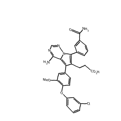 COc1cc(-c2c(CCC(=O)O)c(-c3cccc(C(N)=O)c3)n3ncnc(N)c23)ccc1Oc1cccc(Cl)c1